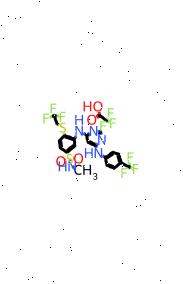 CNS(=O)(=O)c1ccc(SCC(F)(F)F)c(Nc2cc(Nc3ccc(C(F)(F)F)cc3)ncn2)c1.O=C(O)C(F)(F)F